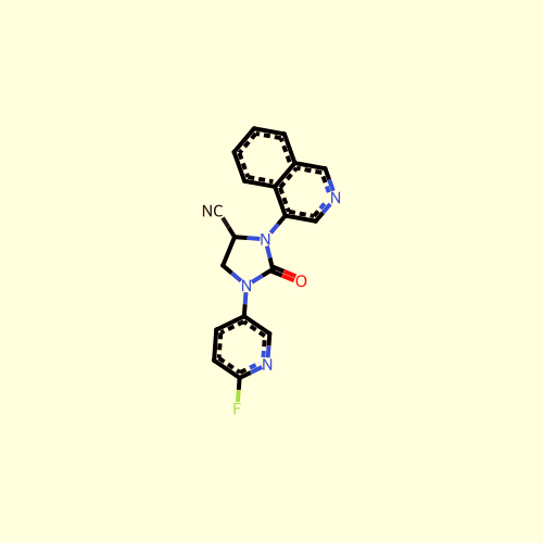 N#CC1CN(c2ccc(F)nc2)C(=O)N1c1cncc2ccccc12